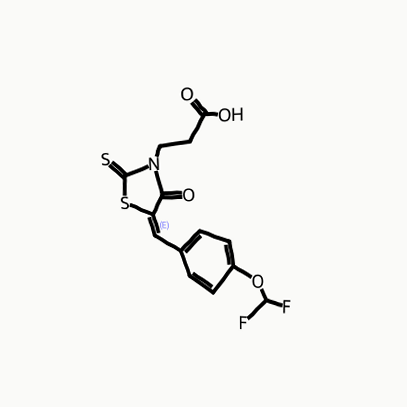 O=C(O)CCN1C(=O)/C(=C\c2ccc(OC(F)F)cc2)SC1=S